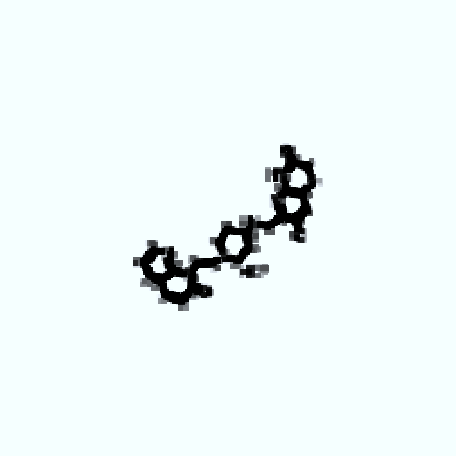 Cl.O=C1CSc2cc(Cl)c(CNC3CCN(CCn4c(=O)ccc5cccnc54)CC3)nc2N1